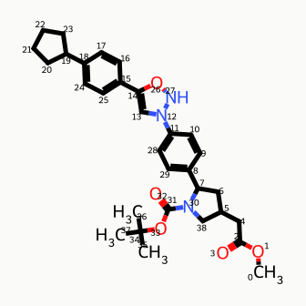 COC(=O)CC1CC(c2ccc(N3C=C(c4ccc(C5CCCC5)cc4)ON3)cc2)N(C(=O)OC(C)(C)C)C1